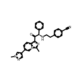 Cc1nc(C(=O)[C@H](NCCc2ccc(C#N)cc2)c2ccccc2)c2ccc(-c3cnn(C)c3)cn12